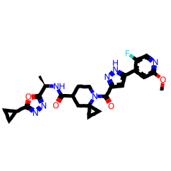 COc1cc(-c2cc(C(=O)N3CCC(C(=O)N[C@H](C)c4nnc(C5CC5)o4)CC34CC4)n[nH]2)c(F)cn1